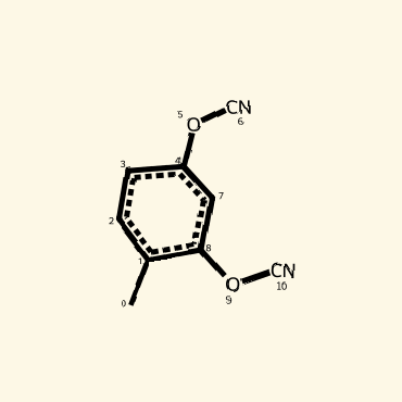 Cc1ccc(OC#N)cc1OC#N